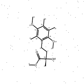 COC(=O)[C@@](C)(O)CCc1c(C)c(OC)c(C)c(C)c1OC